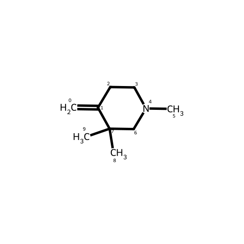 C=C1CCN(C)CC1(C)C